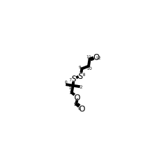 CC(C)(COC=O)SSCCC=O